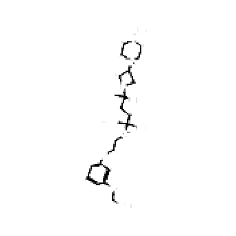 CC(C)(C)COc1cccc(OCCNC(C)(C)CCC(C)(C)N2CC(N3CCN(C(C)(C)C)CC3)C2)c1